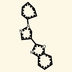 c1ccc(-n2cc(-c3nc4ccccc4o3)cn2)cc1